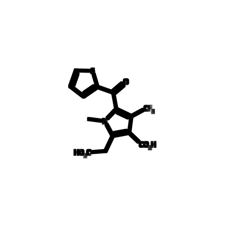 Cn1c(CC(=O)O)c(C(=O)O)c(C(F)(F)F)c1C(=O)c1cccs1